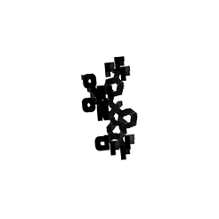 COCNC(=O)N1N=C(c2ccc(C(F)(F)F)c(Cl)c2)C(C)(c2ccccc2)C1c1ccc(C(F)(F)F)cc1